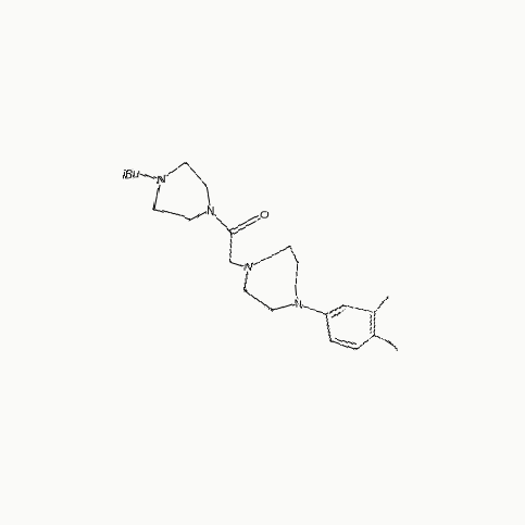 CCC(C)N1CCN(C(=O)CN2CCN(c3ccc(C)c(C)c3)CC2)CC1